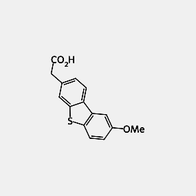 COc1ccc2sc3cc(CC(=O)O)ccc3c2c1